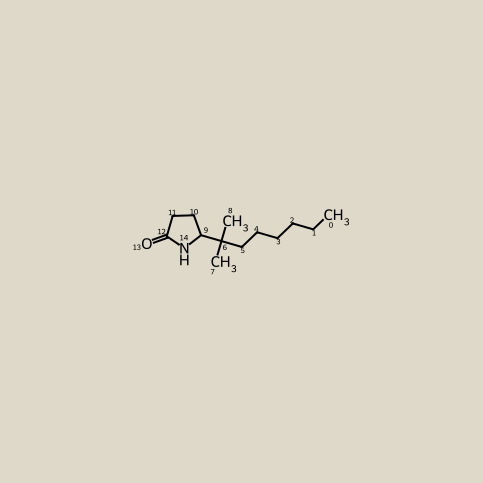 CCCCCCC(C)(C)C1CCC(=O)N1